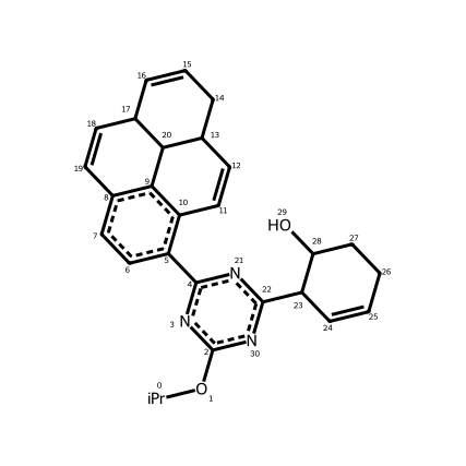 CC(C)Oc1nc(-c2ccc3c4c2C=CC2CC=CC(C=C3)C42)nc(C2C=CCCC2O)n1